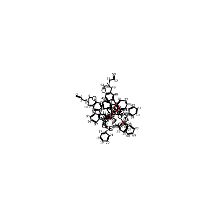 C=CCN1COc2ccc(CC[Si]3(C)O[Si]4(c5ccccc5)O[Si]5(c6ccccc6)O[Si]6(c7ccccc7)O[Si](C)(CCc7ccc8c(c7)CN(CC=C)CO8)O[Si]7(c8ccccc8)O[Si](c8ccccc8)(O[Si](c8ccccc8)(O3)O[Si](c3ccccc3)(O7)O[Si](c3ccccc3)(O4)O6)O5)cc2C1